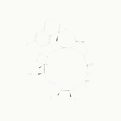 CO[C@@H]1/C=C/[C@H](C)[C@H](C)CS(=O)(=O)NC(=O)c2ccc3c(c2)N(C[C@@H]2CC[C@H]21)C[C@@]1(CCCc2cc(Cl)ccc21)CO3